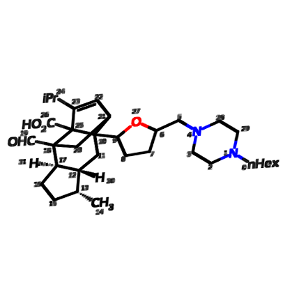 CCCCCCN1CCN(CC2CCC(C34C[C@@H]5[C@H](C)CC[C@H]5C5(C=O)CC3C=C(C(C)C)C45C(=O)O)O2)CC1